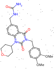 COc1ccc(Cn2c(=O)c3cc(CNC(N)=O)ccc3n(C3CCOCC3)c2=O)cc1OC